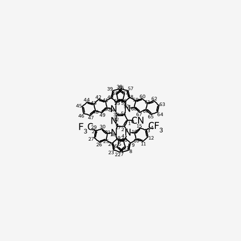 N#Cc1c(-n2c3ccccc3c3ccc(C(F)(F)F)cc32)c(-n2c3ccccc3c3ccc(C(F)(F)F)cc32)nc(-n2c3ccccc3c3cc4ccccc4cc32)c1-n1c2ccccc2c2cc3ccccc3cc21